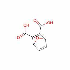 O=C(O)C1=C(C(=O)O)C2C=CC1O2